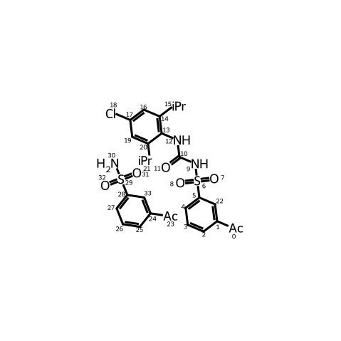 CC(=O)c1cccc(S(=O)(=O)NC(=O)Nc2c(C(C)C)cc(Cl)cc2C(C)C)c1.CC(=O)c1cccc(S(N)(=O)=O)c1